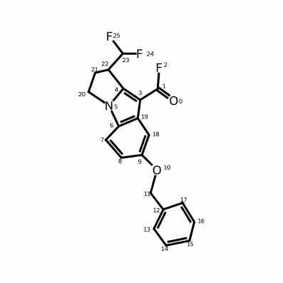 O=C(F)c1c2n(c3ccc(OCc4ccccc4)cc13)CCC2C(F)F